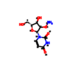 NO[C@@H]1[C@H](O)[C@@H](CO)O[C@H]1n1ccc(=O)[nH]c1=O